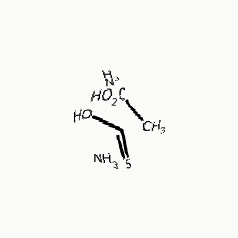 CC(=O)O.N.N.OC=S